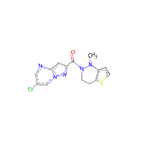 CN1c2ccsc2CCN1C(=O)c1cc2ncc(Cl)cn2n1